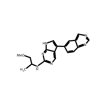 COCC(C)Nc1ncc2c(-c3ccc4ncncc4c3)c[nH]c2n1